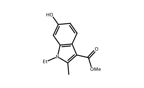 CCn1c(C)c(C(=O)OC)c2ccc(O)cc21